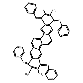 Cc1c(C)c(=Nc2ccccc2)c2cc3c(ccc4c5cc6c(=Nc7ccccc7)c(C)c(C)c(=Nc7ccccc7)c6cc5ccc34)cc2c1=Nc1ccccc1